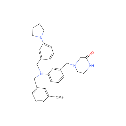 COc1cccc(CN(Cc2cccc(N3CCCC3)c2)c2cccc(CN3CCNC(=O)C3)c2)c1